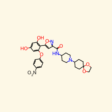 O=C(NC1CCN(C2CCC3(CC2)OCCO3)CC1)c1cc(-c2c(O)cc(O)cc2Oc2ccc([N+](=O)[O-])cc2)on1